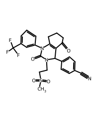 CS(=O)(=O)CCN1C(=O)N(c2cccc(C(F)(F)F)c2)C2=C(C(=O)CCC2)C1c1ccc(C#N)cc1